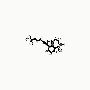 COC(=O)CCCC#Cc1cccc2c1NCCNC2=O